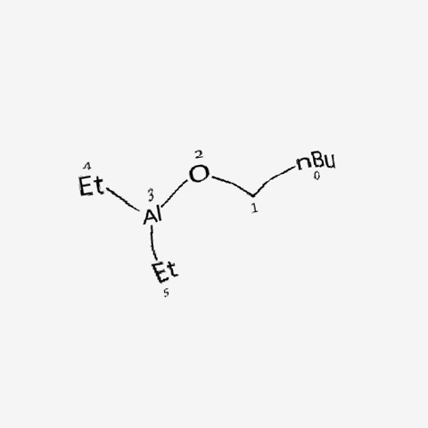 CCCCC[O][Al]([CH2]C)[CH2]C